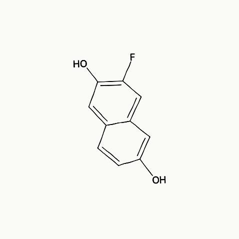 Oc1ccc2cc(O)c(F)cc2c1